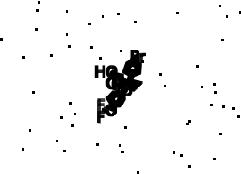 O=C(O)CN(C1(c2ccc(Br)cc2)CC1)S(=O)(=O)c1ccc(OC(F)F)cc1